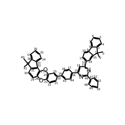 CC1(C)c2ccccc2-c2ccc(-c3cc(-c4ccc(-c5ccc6c(c5)Oc5c(ccc7c5-c5ccccc5C7(C)C)O6)cc4)nc(-c4ccccc4)n3)cc21